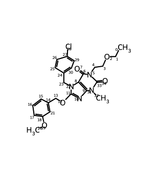 CCOCCn1c(=O)c2c(nc(OCc3cccc(OC)c3)n2Cc2ccc(Cl)cc2)n(C)c1=O